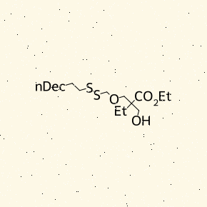 CCCCCCCCCCCCSSCOCC(CC)(CO)C(=O)OCC